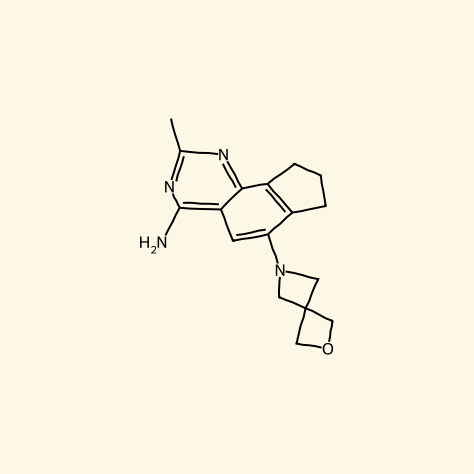 Cc1nc(N)c2cc(N3CC4(COC4)C3)c3c(c2n1)CCC3